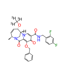 [2H]C([2H])([2H])O[C@H]1C=C[C@H](C)N2C[C@H]1n1cc(C(=O)NCc3ccc(F)cc3F)c(=O)c(OCc3ccccc3)c1C2=O